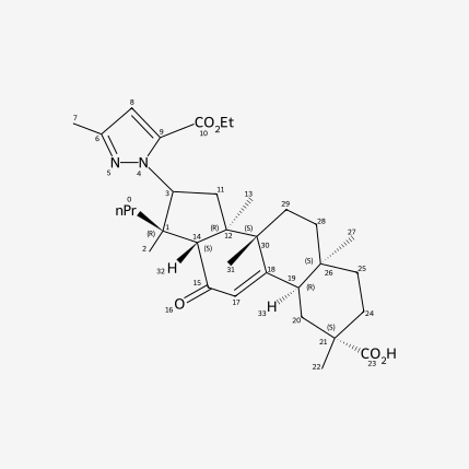 CCC[C@@]1(C)C(n2nc(C)cc2C(=O)OCC)C[C@]2(C)[C@@H]1C(=O)C=C1[C@@H]3C[C@@](C)(C(=O)O)CC[C@]3(C)CC[C@]12C